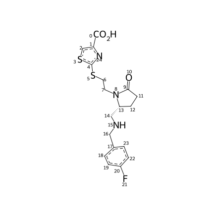 O=C(O)c1csc(SCCN2C(=O)CC[C@@H]2CNCc2ccc(F)cc2)n1